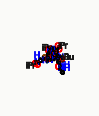 CC(C)OC(=O)Nc1ccc(-c2sc(C3CCC(NC(=O)OC(C)C)CC3)nc2F)c(S(=O)(=O)NC(C)(C)Cc2nc(C3CC[C@@H](NC(=O)OC(C)C)CO3)sc2-c2ccc(NC(=O)NCc3ccccc3)cc2S(=O)(=O)NC(C)(C)C)c1